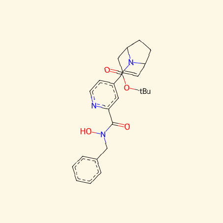 CC(C)(C)OC(=O)N1C2C=C(c3ccnc(C(=O)N(O)Cc4ccccc4)c3)CC1CC2